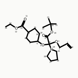 C=CCOC(OC1CCC(C(=O)OCC)CC1)(C(=O)OC(C)(C)C)N1CCCC1